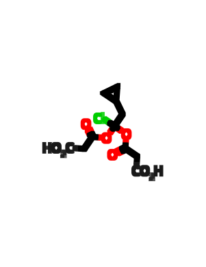 O=C(O)CC(=O)OC(Cl)(CC1CC1)OC(=O)CC(=O)O